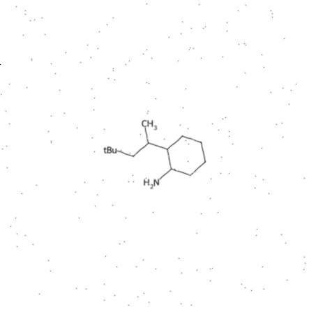 CC(CC(C)(C)C)C1CCCCC1N